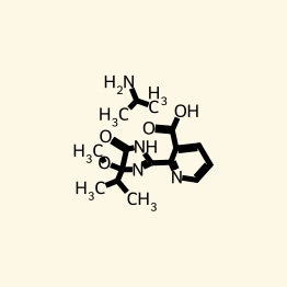 CC(C)N.COC1(C(C)C)N=C(c2ncccc2C(=O)O)NC1=O